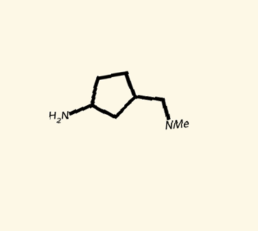 CNCC1CCC(N)C1